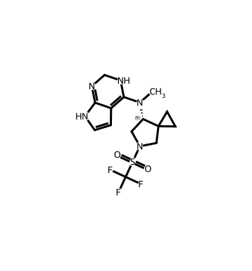 CN(C1=c2cc[nH]c2=NCN1)[C@H]1CN(S(=O)(=O)C(F)(F)F)CC12CC2